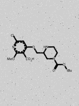 COc1nc(Cl)cc(OCC2CN(C(=O)OC(C)(C)C)CCN2)c1C(=O)O